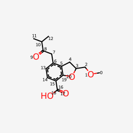 COCC1Cc2c(CC(=O)C(C)C)ccc(C(=O)O)c2O1